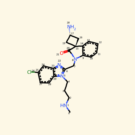 CNCCCn1c(CN2c3ccccc3[C@]3(C[C@@H](N)C3)C2=O)nc2cc(Cl)ccc21